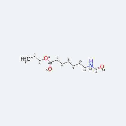 CCCOC(=O)CCCCCCNC=O